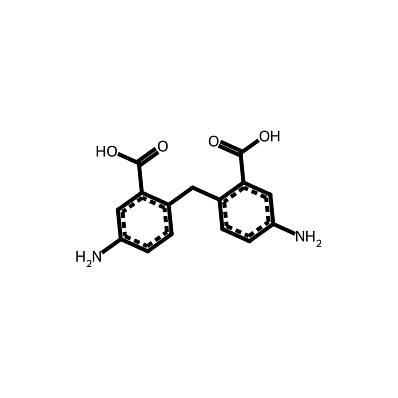 Nc1ccc(Cc2ccc(N)cc2C(=O)O)c(C(=O)O)c1